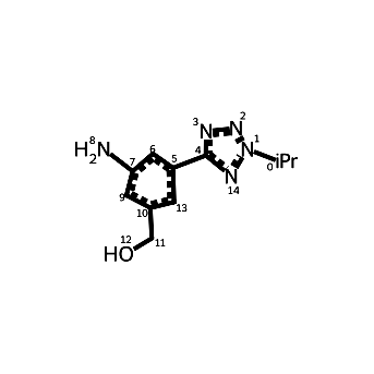 CC(C)n1nnc(-c2cc(N)cc(CO)c2)n1